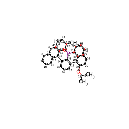 CC(C)Oc1ccc2ccccc2c1-c1cccc(-c2c(OC(C)C)ccc3ccccc23)c1P(C1CCCCC1)C1CCCCC1